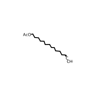 [CH]=C=CCCCCCCCCCCCCOC(C)=O